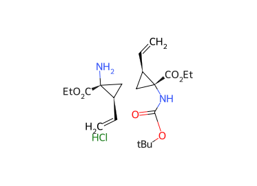 C=C[C@@H]1C[C@]1(N)C(=O)OCC.C=C[C@@H]1C[C@]1(NC(=O)OC(C)(C)C)C(=O)OCC.Cl